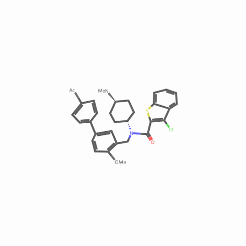 CN[C@H]1CC[C@H](N(Cc2cc(-c3ccc(C(C)=O)cc3)ccc2OC)C(=O)c2sc3ccccc3c2Cl)CC1